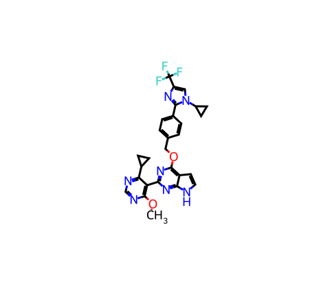 COc1ncnc(C2CC2)c1-c1nc(OCc2ccc(-c3nc(C(F)(F)F)cn3C3CC3)cc2)c2cc[nH]c2n1